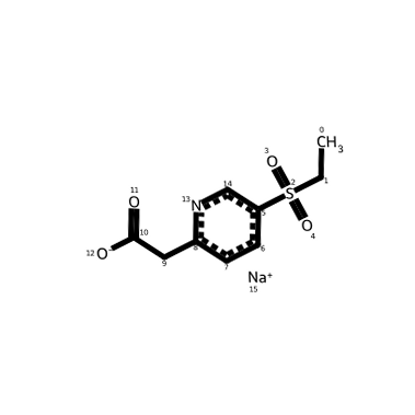 CCS(=O)(=O)c1ccc(CC(=O)[O-])nc1.[Na+]